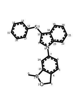 CB1OCc2ccc(-n3cc(Sc4ccccc4)c4ccccc43)cc21